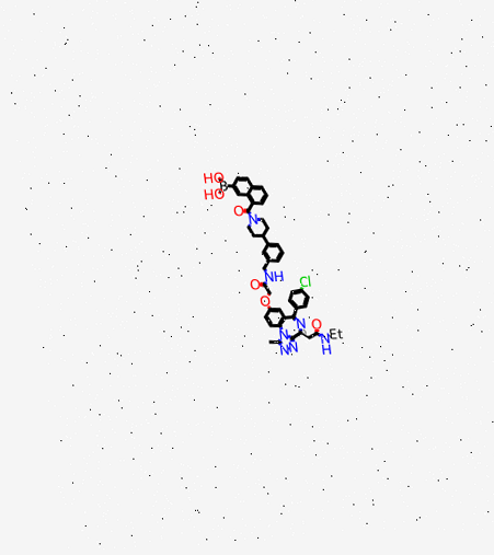 CCNC(=O)C[C@@H]1N=C(c2ccc(Cl)cc2)c2cc(OCC(=O)NCc3cccc(C4CCN(C(=O)c5cccc6ccc(B(O)O)cc56)CC4)c3)ccc2-n2c(C)nnc21